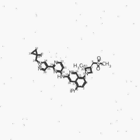 CC(C)c1ccc(N2C[C@H](CS(C)(=O)=O)[C@H]2C)c2cnc(Nc3ccnc(-c4cnn(CC5(F)CC5)c4)n3)cc12